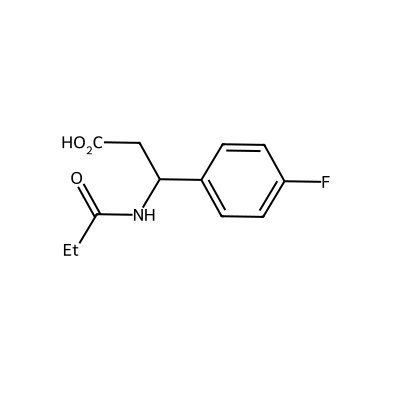 CCC(=O)NC(CC(=O)O)c1ccc(F)cc1